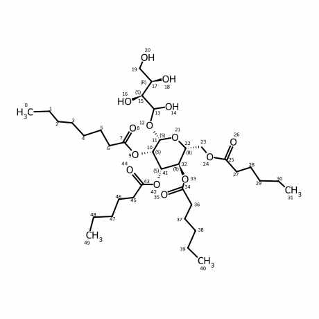 CCCCCCCC(=O)O[C@@H]1[C@H](OC(O)[C@@H](O)[C@H](O)CO)O[C@H](COC(=O)CCCCC)[C@@H](OC(=O)CCCCC)[C@@H]1OC(=O)CCCCC